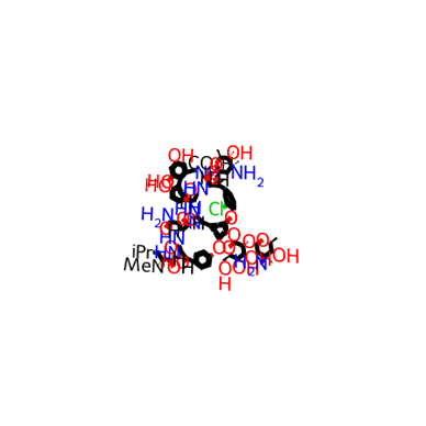 CN[C@H](CC(C)C)C(=O)N[C@H]1C(=O)N[C@@H](CC(N)=O)C(=O)N[C@H]2C(=O)N[C@H]3C(=O)N[C@H](C(=O)N[C@H](C(=O)O)c4cc(O)cc(O)c4-c4cc3ccc4O)[C@H](O[C@H]3C[C@](C)(N)[C@@H](O)[C@H](C)O3)c3ccc(c(Cl)c3)Oc3cc2cc(c3O[C@@H]2O[C@H](CO)[C@@H](O)[C@H](O)[C@H]2O[C@H]2C[C@](C)(N)[C@@H](O)[C@H](C)O2)Oc2ccc(cc2)[C@H]1O